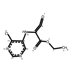 CCOC(=O)C(=C=O)Nc1cncnc1Cl